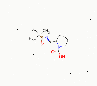 CC(C)(C)[S+]([O-])N=CC1CCCCN1C(=O)O